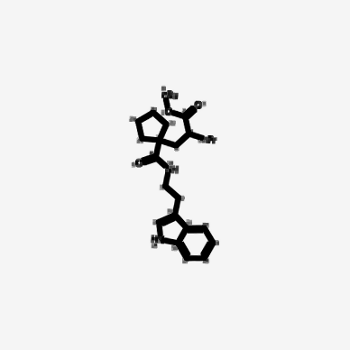 CCCCOC(=O)C(CCC)CC1(C(=O)NCCc2c[nH]c3ccccc23)CCCC1